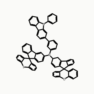 C1=CC(N(c2cccc(-c3ccc4c5ccccc5n(-c5ccccc5)c4c3)c2)c2ccc3c(c2)-c2ccccc2C32c3ccccc3Sc3ccccc32)CC2=C1C1(c3ccccc3Oc3ccccc31)c1ccccc12